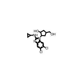 OCC1CC(O)C(n2c(NC3CC3)nc3cc(Cl)c(Cl)cc32)C1